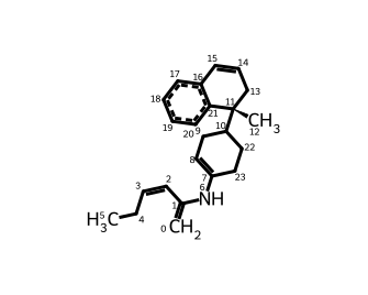 C=C(/C=C\CC)NC1=CCC([C@@]2(C)CC=Cc3ccccc32)CC1